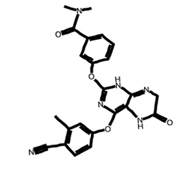 Cc1cc(OC2=C3NC(=O)CN=C3NC(Oc3cccc(C(=O)N(C)C)c3)=N2)ccc1C#N